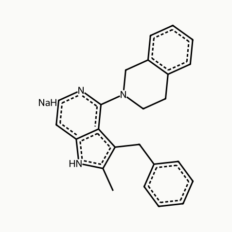 Cc1[nH]c2ccnc(N3CCc4ccccc4C3)c2c1Cc1ccccc1.[NaH]